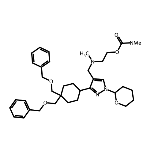 CNC(=O)OCCN(C)Cc1cn(C2CCCCO2)nc1C1CCC(COCc2ccccc2)(COCc2ccccc2)CC1